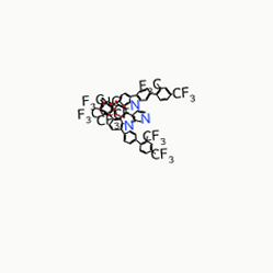 N#Cc1cccc(-c2c(-n3c4cc(-c5ccc(C(F)(F)F)cc5C(F)(F)F)ccc4c4ccc(-c5ccc(C(F)(F)F)cc5C(F)(F)F)cc43)cncc2-n2c3cc(-c4ccc(C(F)(F)F)cc4C(F)(F)F)ccc3c3ccc(-c4ccc(C(F)(F)F)cc4C(F)(F)F)cc32)c1